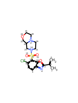 C=C(C)c1nc2ccc(Cl)c(S(=O)(=O)N3CCN4CCOCC4C3)c2o1